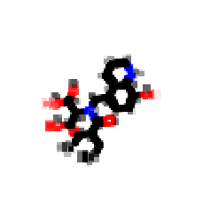 CCC(CC)C(=O)N(Cc1ccc(O)c2ncccc12)C(C(=O)O)C(=O)O